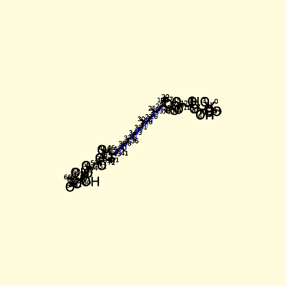 CC1=C(O)C(C(O)COC(=O)CCC(=O)OC2CC(C)(C)C(/C=C/C(C)=C/C=C/C(C)=C/C=C/C=C(C)/C=C/C=C(C)/C=C/C3=C(C)C(=O)C(OC(=O)CCC(=O)OCC(O)C4OC(=O)C(C)=C4O)CC3(C)C)=C(C)C2=O)OC1=O